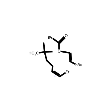 CC/C=C\CCC(C)(C)C(=O)O.CCCCC=COC(=O)C(C)C